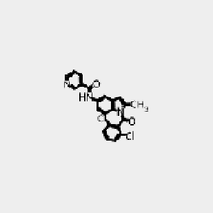 Cc1cc2cc(NC(=O)c3cccnc3)ccc2n1C(=O)c1c(Cl)cccc1Cl